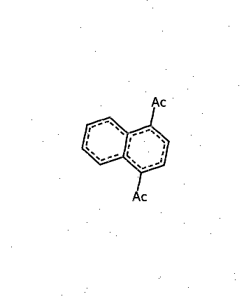 CC(=O)c1ccc(C(C)=O)c2ccccc12